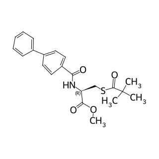 COC(=O)[C@H](CSC(=O)C(C)(C)C)NC(=O)c1ccc(-c2ccccc2)cc1